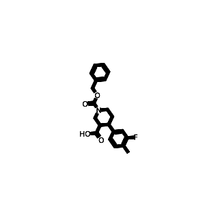 Cc1ccc(C2CCN(C(=O)OCc3ccccc3)CC2C(=O)O)cc1F